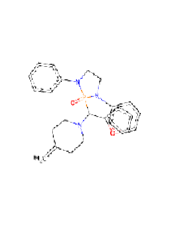 C=C1CCN(C(c2ccco2)P2(=O)N(c3ccccc3)CCN2c2ccccc2)CC1